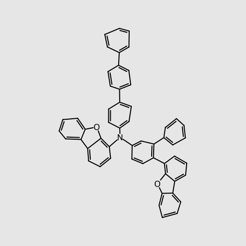 c1ccc(-c2ccc(-c3ccc(N(c4ccc(-c5cccc6c5oc5ccccc56)c(-c5ccccc5)c4)c4cccc5c4oc4ccccc45)cc3)cc2)cc1